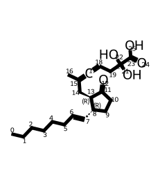 CCCCCCC=C[C@H]1CCC(=O)[C@@H]1CC(C)=C=CCC(O)(O)C(=O)O